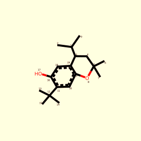 CC(C)C1CC(C)(C)Oc2cc(C(C)(C)C)c(O)cc21